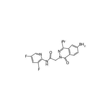 Bc1ccc2c(=O)n(CC(=O)Nc3ncc(F)cc3F)nc(C(C)C)c2c1